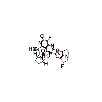 O=C(OCc1ccccc1)N1[C@H]2CC[C@@H]1[C@@H](CO)N(c1nc(OC[C@@]34CCCN3C[C@H](F)C4)nc3c(F)c(Cl)nc(Cl)c13)C2